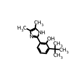 Cc1nc(-c2cccc(C(C)(C)C)c2O)[nH]c1C